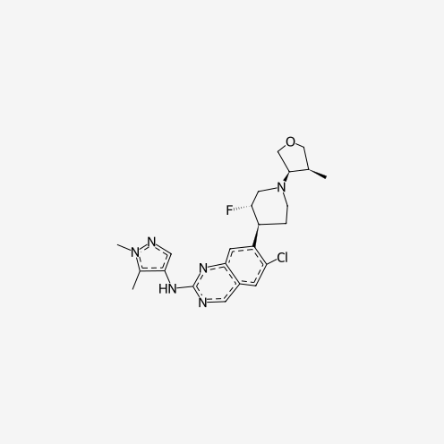 Cc1c(Nc2ncc3cc(Cl)c([C@@H]4CCN([C@H]5COC[C@H]5C)C[C@H]4F)cc3n2)cnn1C